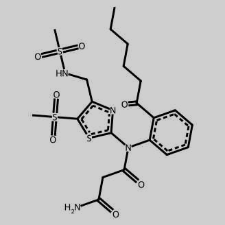 CCCCCC(=O)c1ccccc1N(C(=O)CC(N)=O)c1nc(CNS(C)(=O)=O)c(S(C)(=O)=O)s1